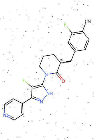 N#Cc1ccc(C[C@@H]2CCCN(c3[nH]nc(-c4ccncc4)c3F)C2=O)cc1F